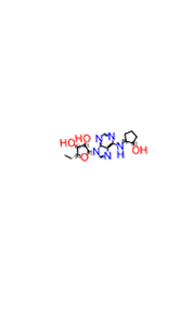 CC[C@H]1O[C@@H](n2cnc3c(N[C@@H]4CCC[C@H]4O)ncnc32)[C@H](O)[C@@H]1O